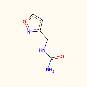 NC(=O)NCc1ccon1